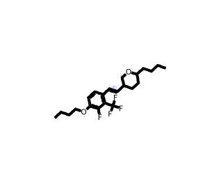 CCCCOc1ccc(/C=C/C2CCC(CCCC)OC2)c(C(F)(F)F)c1F